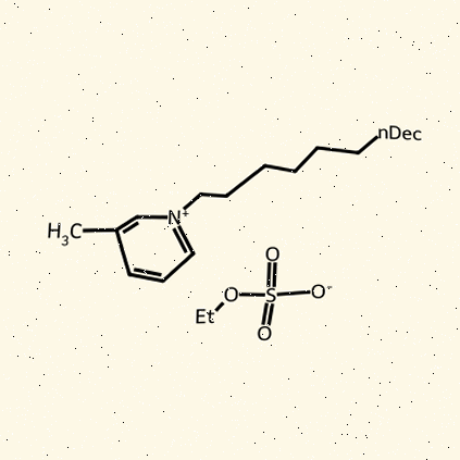 CCCCCCCCCCCCCCCC[n+]1cccc(C)c1.CCOS(=O)(=O)[O-]